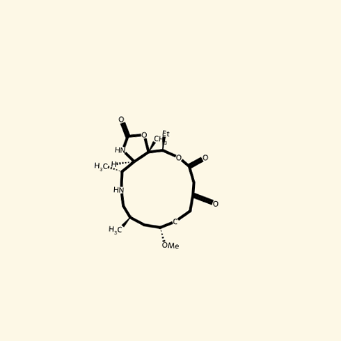 CC[C@H]1OC(=O)CC(=O)CC[C@H](OC)C[C@@H](C)CN[C@H](C)[C@H]2NC(=O)O[C@@]21C